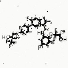 Cc1nc2cc(F)c(-c3cnc(N4CC(O)(C(F)(F)F)C4)nc3)cn2c1CNc1cc(F)cc(F)c1OC(F)(F)C(=O)O